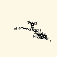 CCCCCCCCCCCCCCCCOC[C@@H](COP(=O)(O)OC[C@@](C#N)(OC)[C@@H](O)[C@@H](O)c1ccc2c(N)ncnn12)OCc1cc(Cl)cc(C#N)c1